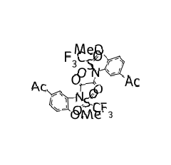 COc1ccc(C(C)=O)cc1N(C(=O)C(=O)N(c1cc(C(C)=O)ccc1OC)S(=O)(=O)C(F)(F)F)S(=O)(=O)C(F)(F)F